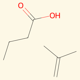 C=C(C)C.CCCC(=O)O